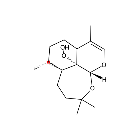 CC1=CO[C@@H]2OC(C)(C)CC[C@H]3[C@H](C)CCC1[C@@]23OO